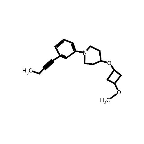 CCC#Cc1cccc(N2CCC(OC3CC(OC)C3)CC2)c1